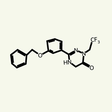 O=C1CNC(c2cccc(OCc3ccccc3)c2)=NN1CC(F)(F)F